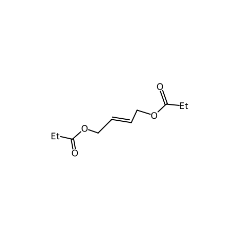 CCC(=O)OCC=CCOC(=O)CC